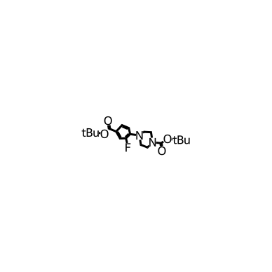 CC(C)(C)OC(=O)c1ccc(N2CCN(C(=O)OC(C)(C)C)CC2)c(F)c1